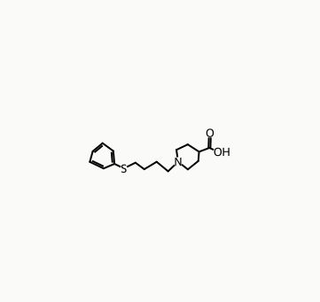 O=C(O)C1CCN(CCCCSc2ccccc2)CC1